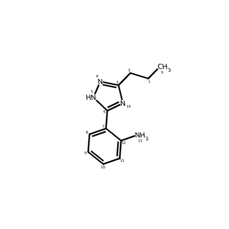 CCCc1n[nH]c(-c2ccccc2N)n1